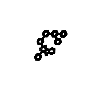 c1ccc(-c2ccc(-c3cccc(-c4cccc(-c5nc(-c6ccccc6)c6oc7ccccc7c6n5)c4)c3)cc2-c2ccccc2)cc1